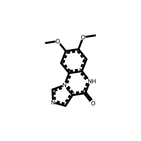 COc1cc2[nH]c(=O)c3cncn3c2cc1OC